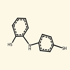 Sc1ccc(Nc2ccccc2S)cc1